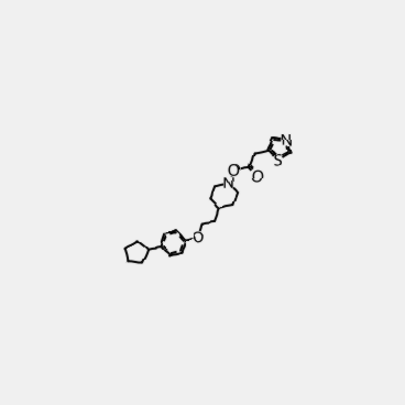 O=C(Cc1cncs1)ON1CCC(CCOc2ccc(C3CCCC3)cc2)CC1